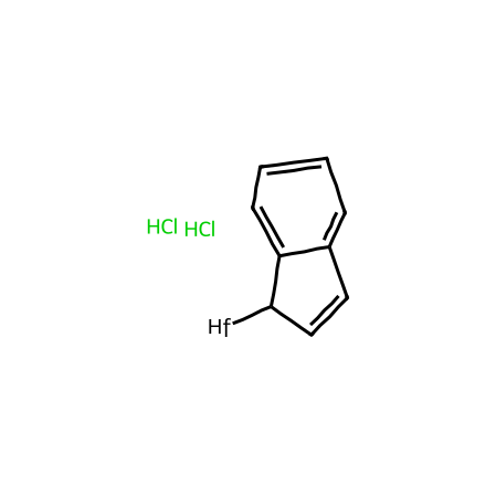 Cl.Cl.[Hf][CH]1C=Cc2ccccc21